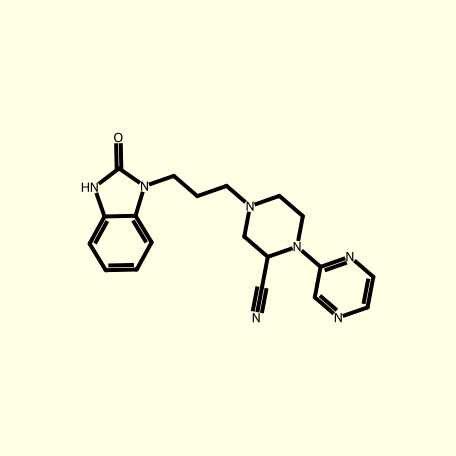 N#CC1CN(CCCn2c(=O)[nH]c3ccccc32)CCN1c1cnccn1